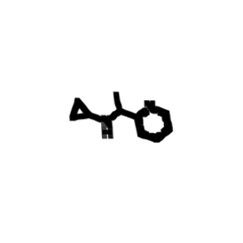 CC(NC1CC1)c1ccccn1